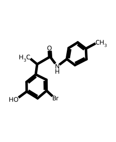 Cc1ccc(NC(=O)C(C)c2cc(O)cc(Br)c2)cc1